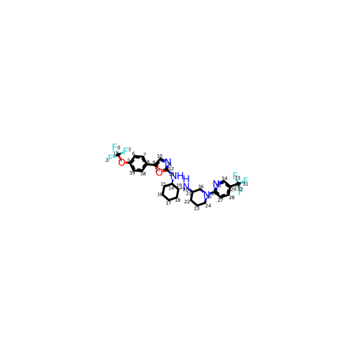 FC(F)(F)Oc1ccc(-c2cnc(N[C@@H]3CCCC[C@H]3NC3CCCN(c4ccc(C(F)(F)F)cn4)C3)o2)cc1